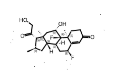 C[C@@H]1C[C@H]2[C@@H]3C[C@H](F)C4=CC(=O)CC[C@]4(C)[C@@]3(F)[C@@H](O)C[C@]2(C)[C@H]1C(=O)CO